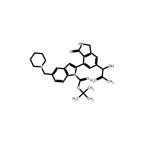 C=C(C)C(O)c1cc2c(c(-c3cc4cc(CN5CCCCC5)ccc4n3C(=O)OC(C)(C)C)c1)C(=O)NC2